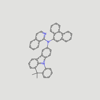 CC1(C)c2ccccc2-n2c3ccc(N(c4nccc5ccccc45)c4cc5ccccc5c5ccccc45)cc3c3cccc1c32